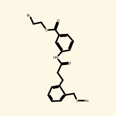 CC(=O)SCc1ccccc1CCC(=O)Nc1cccc(C(=O)OCCBr)c1